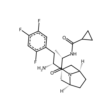 C[C@H](NC(=O)C1CC1)C(=O)N1[C@@H]2CC[C@H]1C[C@H]([C@H](N)Cc1cc(F)c(F)cc1F)C2